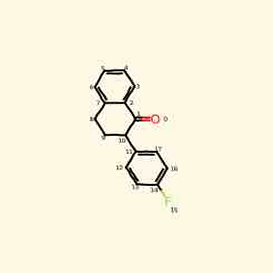 O=C1c2ccccc2CCC1c1ccc(F)cc1